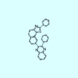 c1ccc(-c2nc3ccc4ccc(-c5nc6ccccc6nc5-c5ccccc5)cc4c3s2)cc1